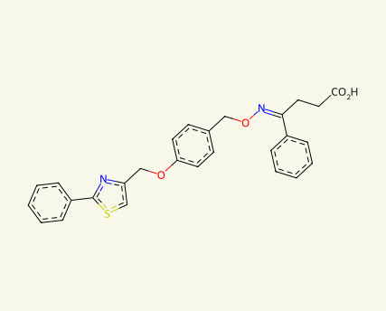 O=C(O)CCC(=NOCc1ccc(OCc2csc(-c3ccccc3)n2)cc1)c1ccccc1